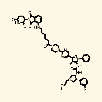 COCCN1C[C@@H](NC(=O)Nc2c(C)c(-c3cnc(N4CCN(C(=O)CCCCCNc5cccc6c5C(=O)N(C5CCC(=O)NC5=O)C6=O)CC4)nc3)nn2-c2ccccc2)[C@H](c2cccc(F)c2)C1